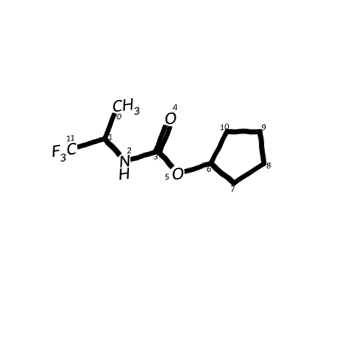 CC(NC(=O)OC1CCCC1)C(F)(F)F